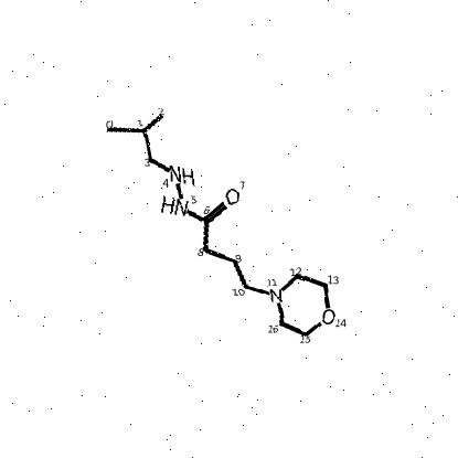 CC(C)CNNC(=O)CCCN1CCOCC1